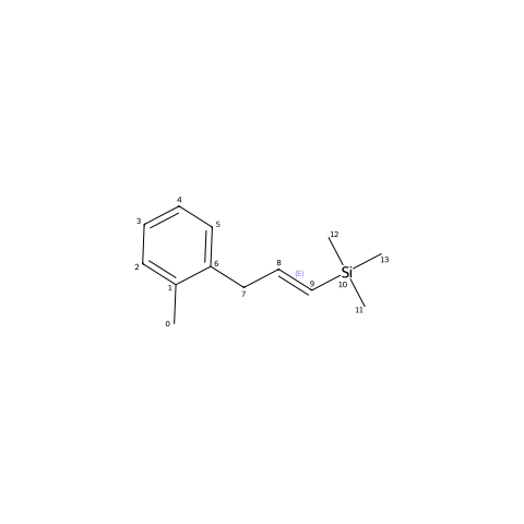 Cc1ccccc1C/C=C/[Si](C)(C)C